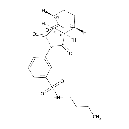 CCCCNS(=O)(=O)c1cccc(N2C(=O)[C@@H]3[C@H]4CC[C@H](C(=O)C4)[C@@H]3C2=O)c1